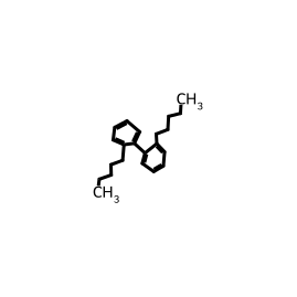 CCCCCc1ccccc1-c1ccccc1CCCCC